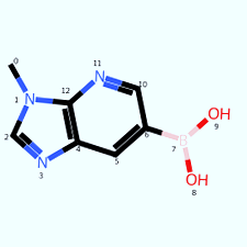 Cn1cnc2cc(B(O)O)cnc21